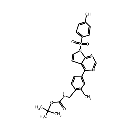 Cc1ccc(S(=O)(=O)n2ccc3c(-c4ccc(CNC(=O)OC(C)(C)C)c(C)c4)ncnc32)cc1